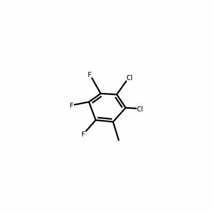 Cc1c(F)c(F)c(F)c(Cl)c1Cl